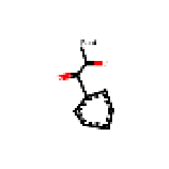 CCCC(C)C(=O)C(=O)c1ccccc1